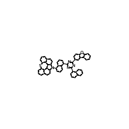 c1ccc2c(-c3nc(-c4ccc5oc6ccccc6c5c4)nc(-c4cccc5c(-n6c7ccc8cccc9sc%10cccc%11ccc6c(c%11%10)c7c89)cccc45)n3)cccc2c1